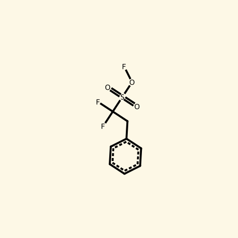 O=S(=O)(OF)C(F)(F)Cc1ccccc1